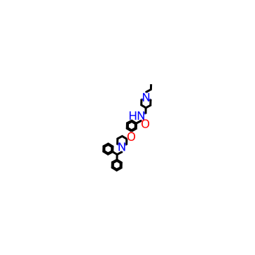 CCCN1CCC(CNC(=O)c2cccc(OC3CCCN(CC(c4ccccc4)c4ccccc4)C3)c2)CC1